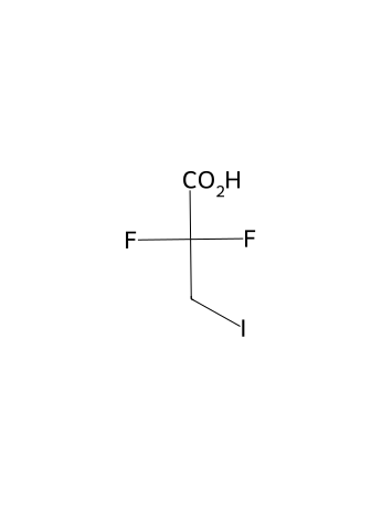 O=C(O)C(F)(F)CI